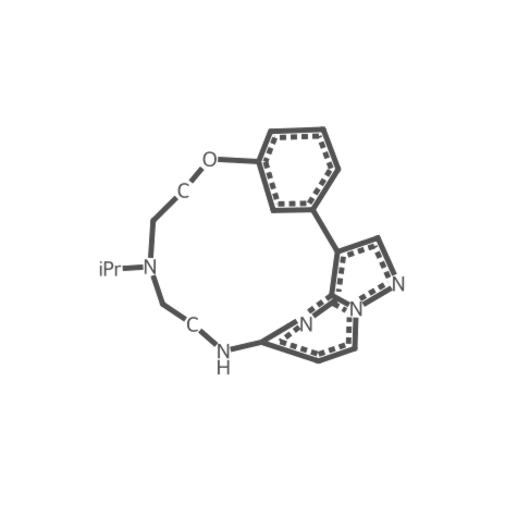 CC(C)N1CCNc2ccn3ncc(c3n2)-c2cccc(c2)OCC1